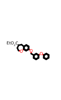 CCOC(=O)C1CCOc2cc(OCc3cccc(Oc4ccccc4)c3)ccc2C1